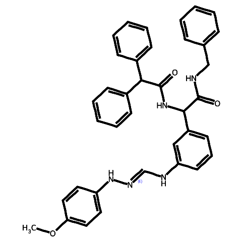 COc1ccc(N/N=C/Nc2cccc(C(NC(=O)C(c3ccccc3)c3ccccc3)C(=O)NCc3ccccc3)c2)cc1